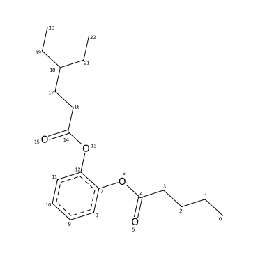 CCCCC(=O)Oc1ccccc1OC(=O)CCC(CC)CC